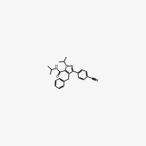 CC(C)NC(=O)c1c(Cc2ccccc2)c(-c2ccc(C#N)cc2)nn1C(C)C